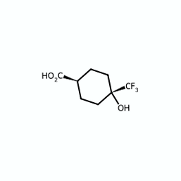 O=C(O)[C@H]1CC[C@@](O)(C(F)(F)F)CC1